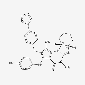 Cc1c2c(c(Nc3ccc(O)cc3)n1Cc1ccc(-n3cccc3)cc1)C(=O)N(C)C1=N[C@H]3CCCC[C@H]3N12